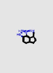 C1=C2NNN3NCC4CCC(C1)C4=C23